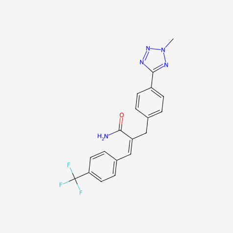 Cn1nnc(-c2ccc(C/C(=C/c3ccc(C(F)(F)F)cc3)C(N)=O)cc2)n1